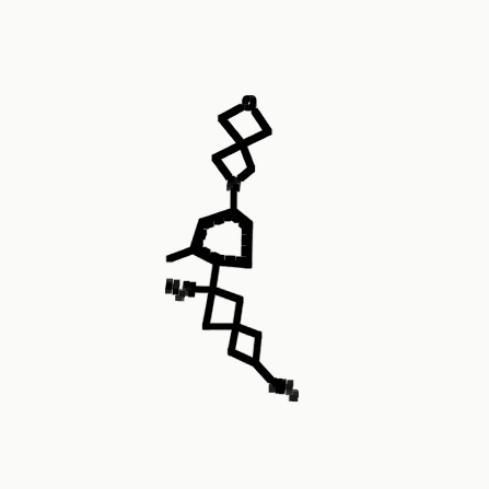 Cc1cc(N2CC3(COC3)C2)ccc1C1(N)CC2(CC(N)C2)C1